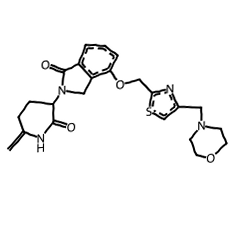 C=C1CCC(N2Cc3c(OCc4nc(CN5CCOCC5)cs4)cccc3C2=O)C(=O)N1